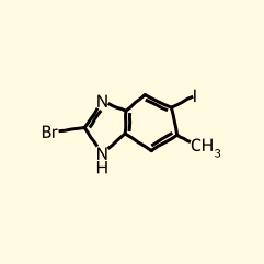 Cc1cc2[nH]c(Br)nc2cc1I